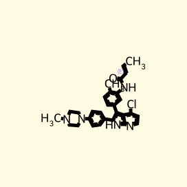 C/C=C/C(=O)Nc1cc(-c2c(-c3ccc(N4CCN(C)CC4)cc3)[nH]c3nccc(Cl)c23)ccc1C